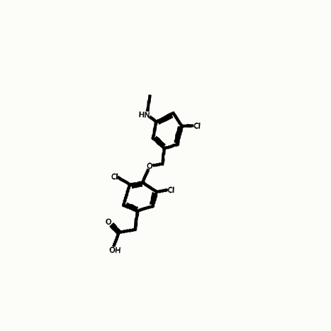 CNc1cc(Cl)cc(COc2c(Cl)cc(CC(=O)O)cc2Cl)c1